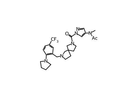 CC(=O)N(C)c1cnn(C(=O)N2CCC3(CCN(Cc4cc(C(F)(F)F)ccc4N4CCCC4)C3)C2)c1